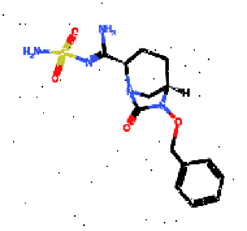 NC(=NS(N)(=O)=O)[C@@H]1CC[C@@H]2CN1C(=O)N2OCc1ccccc1